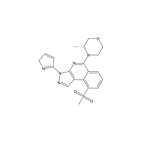 C[C@@H]1COCCN1c1nc2c(cnn2C2=NCC=C2)c2c(S(C)(=O)=O)cccc12